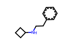 c1ccc(CCNC2CCC2)cc1